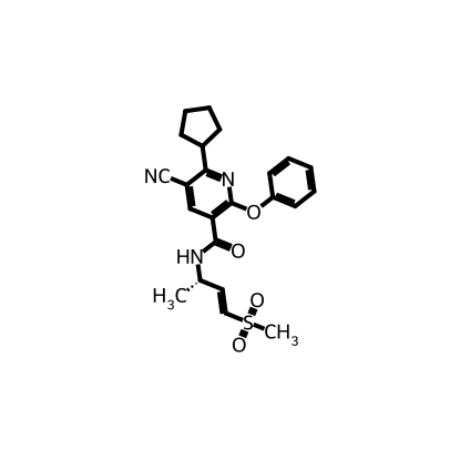 C[C@@H](/C=C/S(C)(=O)=O)NC(=O)c1cc(C#N)c(C2CCCC2)nc1Oc1ccccc1